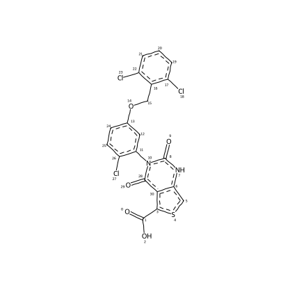 O=C(O)c1scc2[nH]c(=O)n(-c3cc(OCc4c(Cl)cccc4Cl)ccc3Cl)c(=O)c12